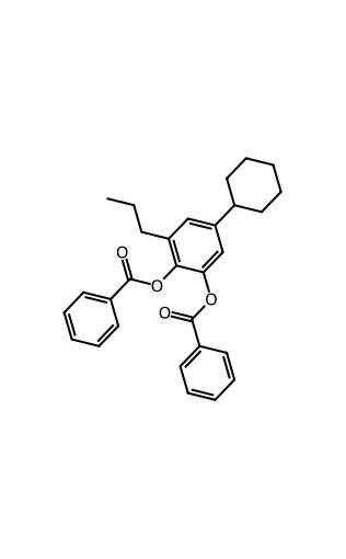 CCCc1cc(C2CCCCC2)cc(OC(=O)c2ccccc2)c1OC(=O)c1ccccc1